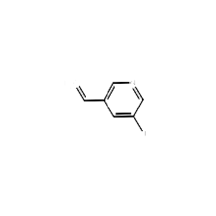 C=Cc1cncc(C(C)C)c1